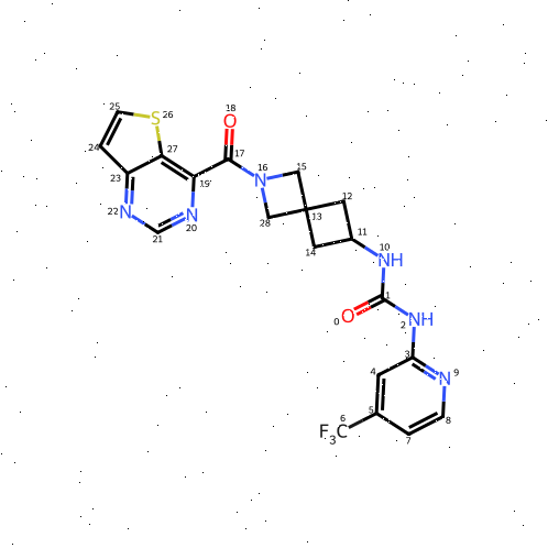 O=C(Nc1cc(C(F)(F)F)ccn1)NC1CC2(C1)CN(C(=O)c1ncnc3ccsc13)C2